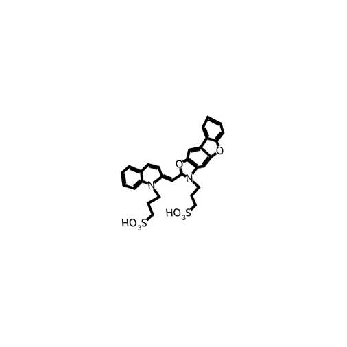 O=S(=O)(O)CCCN1C(=CC2Oc3cc4c(cc3N2CCCS(=O)(=O)O)oc2ccccc24)C=Cc2ccccc21